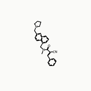 CN(Cc1cccc2cc(CN3CCCC3)ccc12)C(=O)C(C#N)=Cc1ccccc1